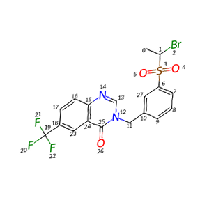 CC(Br)S(=O)(=O)c1cccc(Cn2cnc3ccc(C(F)(F)F)cc3c2=O)c1